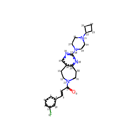 O=C(C=Cc1cccc(F)c1)N1CCc2cnc(N3CCN(C4CCC4)CC3)nc2CC1